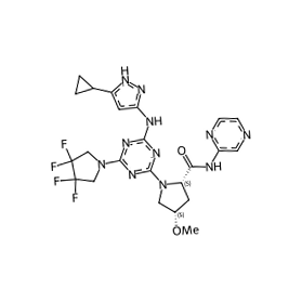 CO[C@H]1C[C@@H](C(=O)Nc2cnccn2)N(c2nc(Nc3cc(C4CC4)[nH]n3)nc(N3CC(F)(F)C(F)(F)C3)n2)C1